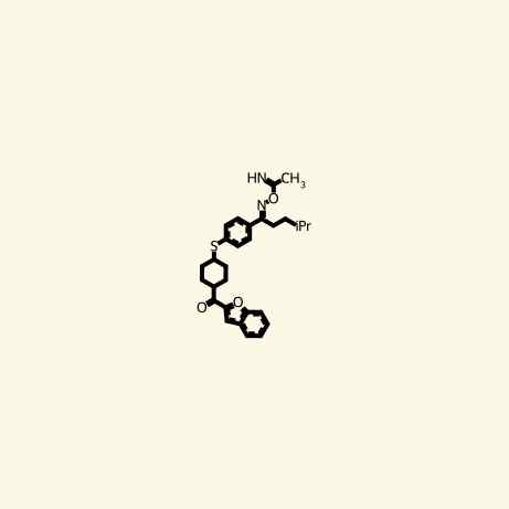 CC(=N)O/N=C(\CCC(C)C)c1ccc(SC2CCC(C(=O)c3cc4ccccc4o3)CC2)cc1